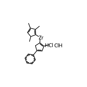 CC1=CC(C)[C]([Zr][C]2=C(C)C=C(c3ccccc3)C2)=C1C.Cl.Cl